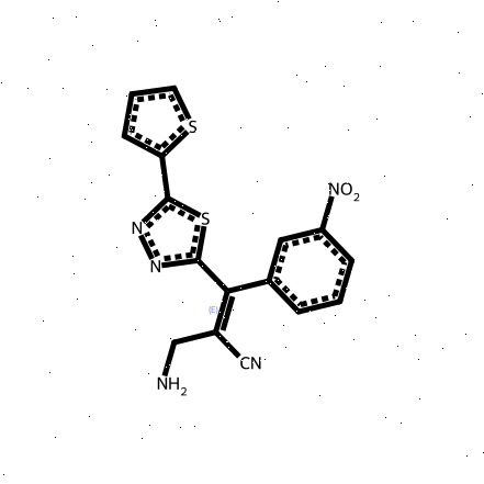 N#C/C(CN)=C(\c1cccc([N+](=O)[O-])c1)c1nnc(-c2cccs2)s1